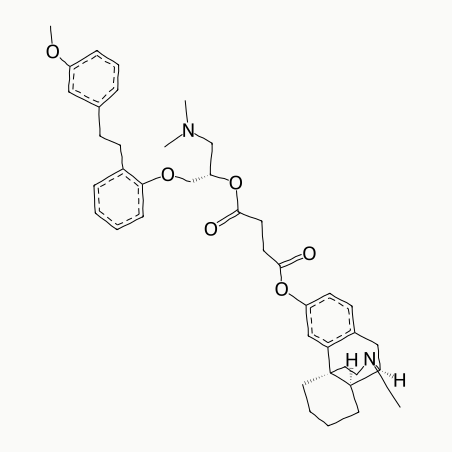 COc1cccc(CCc2ccccc2OC[C@H](CN(C)C)OC(=O)CCC(=O)Oc2ccc3c(c2)[C@]24CCCC[C@@H]2[C@H](C3)N(C)CC4)c1